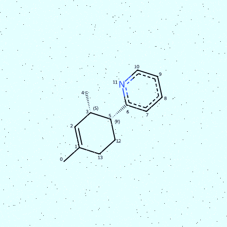 CC1=C[C@H](C)[C@H](c2ccccn2)CC1